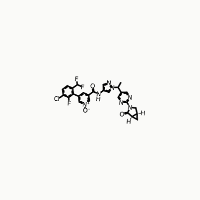 CC(c1cnc(N2C[C@H]3C[C@H]3C2=O)nc1)n1cc(NC(=O)c2cc(-c3c(C(F)F)ccc(Cl)c3F)c[n+]([O-])c2)cn1